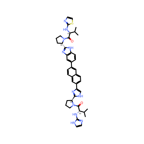 CC(C)[C@H](Nc1ncc[nH]1)C(=O)N1CCC[C@H]1c1nc(-c2ccc3cc(-c4ccc5[nH]c([C@@H]6CCCN6C(=O)[C@@H](Nc6nccs6)C(C)C)nc5c4)ccc3c2)c[nH]1